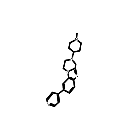 CN1CCC(N2CCn3c(nc4ccc(-c5ccncc5)cc43)C2)CC1